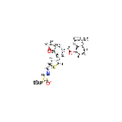 CCOC(=O)Cc1ccccc1OCc1cc(-c2csc(/C=N/C[S+]([O-])C(C)(C)C)c2)c2occc2c1